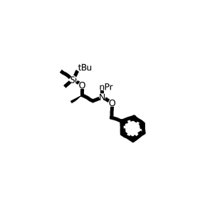 CCCN(C[C@@H](C)O[Si](C)(C)C(C)(C)C)OCc1ccccc1